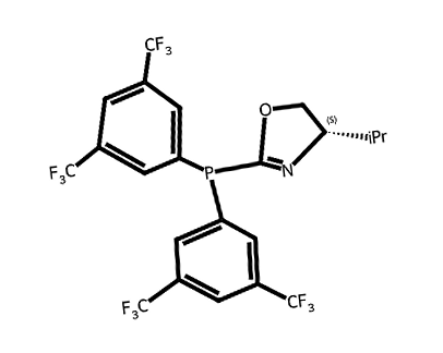 CC(C)[C@H]1COC(P(c2cc(C(F)(F)F)cc(C(F)(F)F)c2)c2cc(C(F)(F)F)cc(C(F)(F)F)c2)=N1